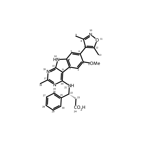 COc1cc2c(cc1-c1c(C)noc1C)[nH]c1nc(C)nc(N[C@H](CC(=O)O)c3ccccc3)c12